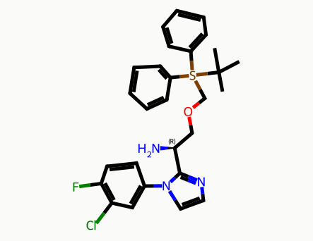 CC(C)(C)S(COC[C@H](N)c1nccn1-c1ccc(F)c(Cl)c1)(c1ccccc1)c1ccccc1